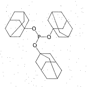 C1C2CC3CC1CC(OP(OC14CC5CC(CC(C5)C1)C4)OC14CC5CC(CC(C5)C1)C4)(C2)C3